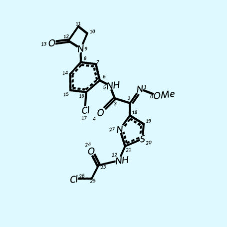 CON=C(C(=O)Nc1cc(N2CCC2=O)ccc1Cl)c1csc(NC(=O)CCl)n1